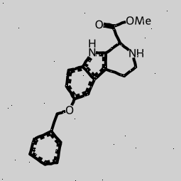 COC(=O)C1NCCc2c1[nH]c1ccc(OCc3ccccc3)cc21